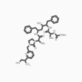 COC(=O)NC(C(=O)NC(Cc1ccccc1)C(O)CC(Cc1ccccc1)NC(=O)C(N1CCN(Cc2cccc(C(C)CO)n2)C1=O)C(C)(C)C)C(C)(C)C